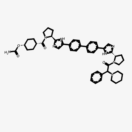 NC(=O)O[C@H]1CC[C@@H](C(=O)N2CCC[C@H]2c2ncc(-c3ccc(-c4ccc(-c5cnc([C@@H]6CCCN6C(=O)C(c6ccccc6)N6CCCCC6)[nH]5)cc4)cc3)[nH]2)CC1